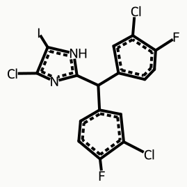 Fc1ccc(C(c2ccc(F)c(Cl)c2)c2nc(Cl)c(I)[nH]2)cc1Cl